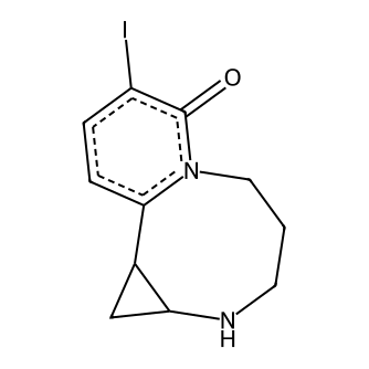 O=c1c(I)ccc2n1CCCNC1CC21